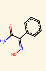 NC(=O)C(=NO)c1ccccc1